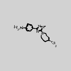 Cn1nc(-c2ccc(N)cc2)nc1N1CCC(C(F)(F)F)CC1